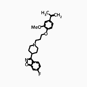 C=C(C)c1ccc(OCCCN2CCC(c3noc4cc(F)ccc34)CC2)c(OC)c1